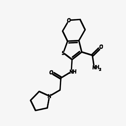 NC(=O)c1c(NC(=O)CN2CCCC2)sc2c1CCOC2